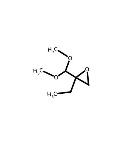 CCC1(C(OC)OC)CO1